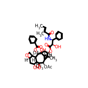 C/C=C(\C)C(=O)N[C@@H](c1ccccc1)[C@@H](O)C(=O)O[C@H]1C[C@@]2(O)[C@@H](OC(=O)c3ccccc3)[C@@H]3[C@]4(OC(C)=O)CO[C@@H]4C[C@@H](O)[C@@]3(C)C(=O)[C@H](OC(C)=O)C(=C1C)C2(C)C